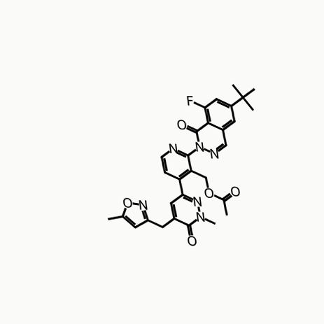 CC(=O)OCc1c(-c2cc(Cc3cc(C)on3)c(=O)n(C)n2)ccnc1-n1ncc2cc(C(C)(C)C)cc(F)c2c1=O